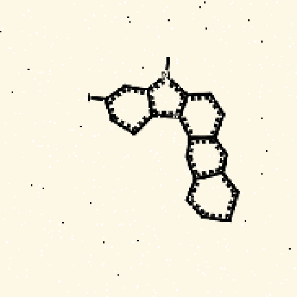 Cn1c2cc(I)ccc2c2c3cc4ccccc4cc3ccc21